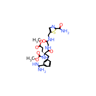 COC(=O)CC[C@](Cc1cccc(C(=N)N)c1)(NC(=O)OC)C(=O)NCC(=O)NCc1cnc(C(N)=O)s1